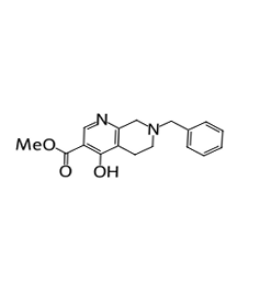 COC(=O)c1cnc2c(c1O)CCN(Cc1ccccc1)C2